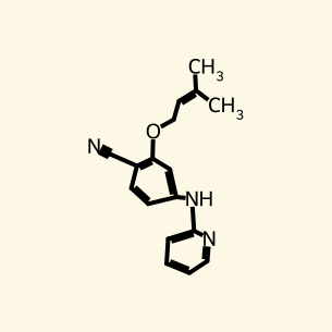 CC(C)=CCOc1cc(Nc2ccccn2)ccc1C#N